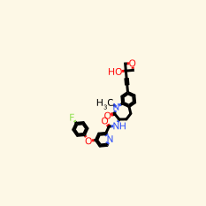 CN1C(=O)C(NC(=O)c2cc(Oc3ccc(F)cc3)ccn2)CCc2ccc(C#CC3(O)COC3)cc21